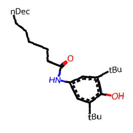 CCCCCCCCCCCCCCCC(=O)Nc1cc(C(C)(C)C)c(O)c(C(C)(C)C)c1